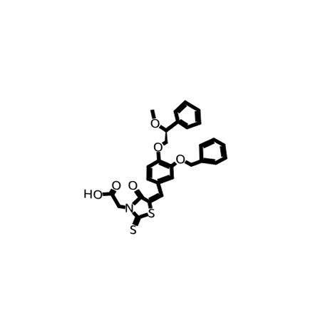 CO[C@H](COc1ccc(C=C2SC(=S)N(CC(=O)O)C2=O)cc1OCc1ccccc1)c1ccccc1